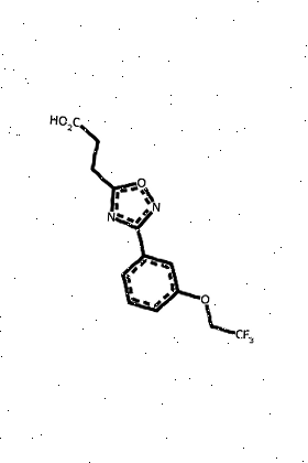 O=C(O)CCc1nc(-c2cccc(OCC(F)(F)F)c2)no1